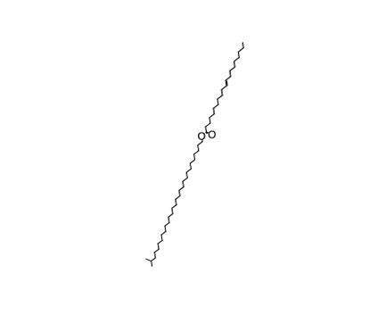 CCCCCCCCC=CCCCCCCCCCC(=O)OCCCCCCCCCCCCCCCCCCCCCCCCCCCC(C)C